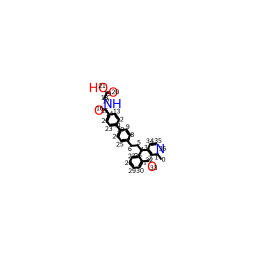 Cc1cc(C(CCc2ccc(-c3ccc(C(=O)NCC(=O)O)cc3)cc2)c2ccccc2C=O)ccn1